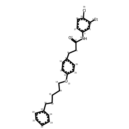 CCc1cc(NC(=O)CCc2ccc(OCCCCCc3ccccc3)cc2)ccc1Cl